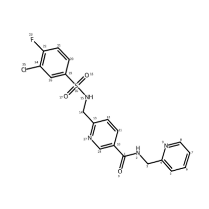 O=C(NCc1ccccn1)c1ccc(CNS(=O)(=O)c2ccc(F)c(Cl)c2)nc1